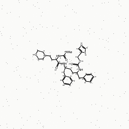 CNC(=O)NC(CCN1CCOCC1)C(=O)NC(CCC(Cc1ccccc1)NC(=O)OCc1cncs1)Cc1ccccc1